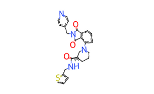 O=C(NCc1cccs1)[C@@H]1CCCN(c2cccc3c2C(=O)N(Cc2ccncc2)C3=O)C1